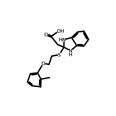 Cc1ccccc1OCCSC1(CC(=O)O)Nc2ccccc2N1